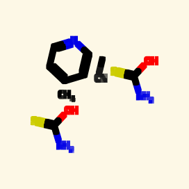 C.CC#N.NC(O)=S.NC(O)=S.c1ccncc1